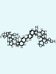 COC(=O)N[C@H](C(=O)N1CCC[C@H]1c1nc2ccc3cc(-c4ccc5c(ccc6[nH]c([C@@H]7CCCN7C(=O)[C@@H](NC(=O)OC)C7CCOCC7)nc65)c4)ccc3c2[nH]1)C(C)C